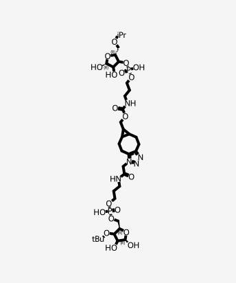 CC(C)OC[C@H]1O[C@@H](O)C(O)C1OP(=O)(O)OCCCNC(=O)OCC1C2CCc3nnn(CC(=O)NCCCOP(=O)(O)OC[C@H]4O[C@@H](O)C(O)C4OC(C)(C)C)c3CCC21